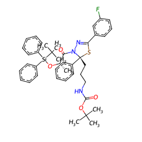 C[C@H](O[Si](c1ccccc1)(c1ccccc1)C(C)(C)C)C(=O)N1N=C(c2cccc(F)c2)S[C@]1(CCCNC(=O)OC(C)(C)C)c1ccccc1